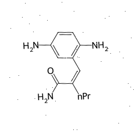 CCCC(=Cc1cc(N)ccc1N)C(N)=O